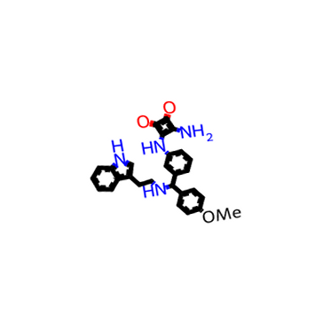 COc1ccc(C(NCCc2c[nH]c3ccccc23)c2cccc(Nc3c(N)c(=O)c3=O)c2)cc1